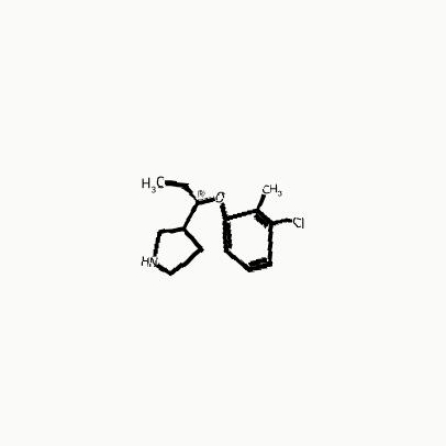 CC[C@@H](Oc1cccc(Cl)c1C)C1CCNC1